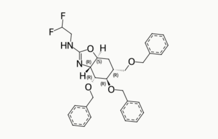 FC(F)CNC1=N[C@H]2[C@@H](OCc3ccccc3)[C@H](OCc3ccccc3)[C@@H](COCc3ccccc3)C[C@@H]2O1